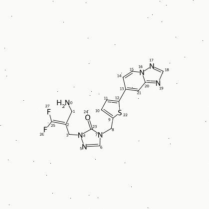 NCC(Cn1ncn(Cc2ccc(-c3ccn4ncnc4c3)s2)c1=O)=C(F)F